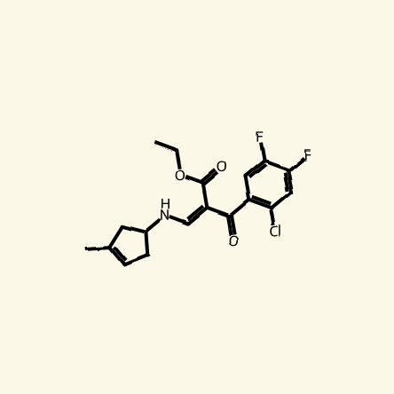 CCOC(=O)C(=CNC1CC=C(C)C1)C(=O)c1cc(F)c(F)cc1Cl